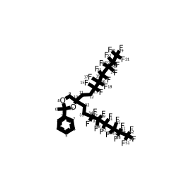 CC1(c2ccccc2)OCC(CCC(F)(F)C(F)(F)C(F)(F)C(F)(F)C(F)(F)C(F)(F)F)(CCC(F)(F)C(F)(F)C(F)(F)C(F)(F)C(F)(F)C(F)(F)F)O1